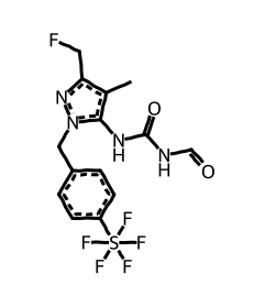 Cc1c(CF)nn(Cc2ccc(S(F)(F)(F)(F)F)cc2)c1NC(=O)NC=O